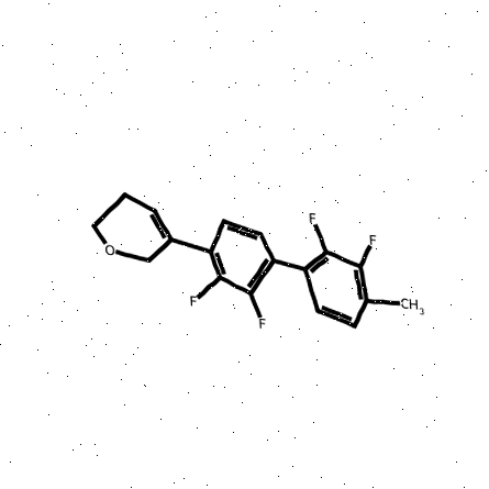 Cc1ccc(-c2ccc(C3=CCCOC3)c(F)c2F)c(F)c1F